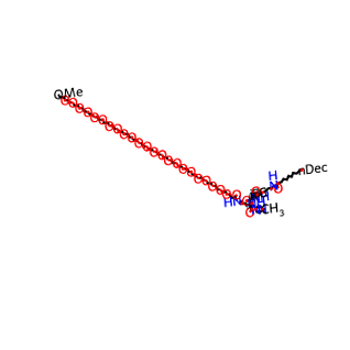 CCCCCCCCCCCCCCCCCCCC(=O)NCCCCCC(=O)N[C@H](C(=O)N[C@@H](CCCCNC(=O)CCOCCOCCOCCOCCOCCOCCOCCOCCOCCOCCOCCOCCOCCOCCOCCOCCOCCOCCOCCOCCOCCOCCOCCOC)C(=O)N1CCN(C)CC1)[C@@H](C)CC